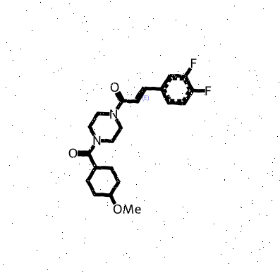 COC1CCC(C(=O)N2CCN(C(=O)/C=C/c3ccc(F)c(F)c3)CC2)CC1